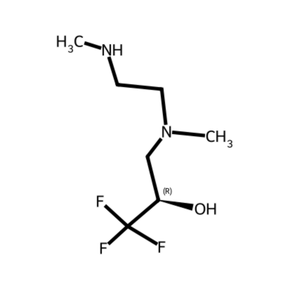 CNCCN(C)C[C@@H](O)C(F)(F)F